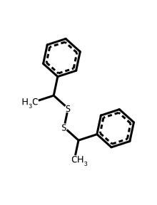 CC(SSC(C)c1ccccc1)c1ccccc1